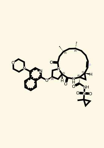 C[C@@H]1CC/C=C\[C@@H]2C[C@@]2(C(=O)NS(=O)(=O)C2(C)CC2)NC(=O)[C@@H]2C[C@@H](Oc3ncc(N4CCOCC4)c4ccccc34)CN2C(=O)C[C@H](C)C1